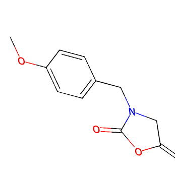 C=C1CN(Cc2ccc(OC)cc2)C(=O)O1